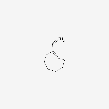 C=C/C1=C\CCCCCC1